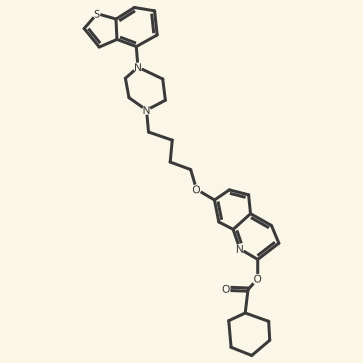 O=C(Oc1ccc2ccc(OCCCCN3CCN(c4cccc5sccc45)CC3)cc2n1)C1CCCCC1